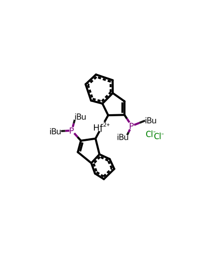 CCC(C)P(C1=Cc2ccccc2[CH]1[Hf+2][CH]1C(P(C(C)CC)C(C)CC)=Cc2ccccc21)C(C)CC.[Cl-].[Cl-]